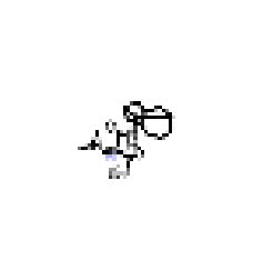 CN(C)/C=C(\C(=O)NC1C2CCCC3CC1CC3C2)C(=O)C(C)(C)C